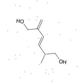 C=C(/C=C/C(C)CO)CO